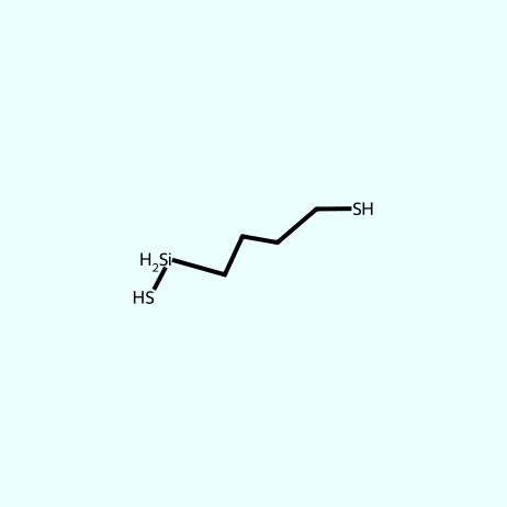 SCCCC[SiH2]S